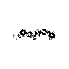 O=C(c1csc(N2CCN(Cc3ccccc3)CC2)n1)N1CCN(c2cccc(C(F)(F)F)c2)CC1